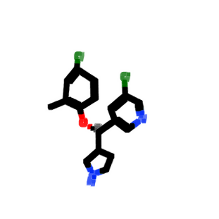 Cc1cc(Cl)ccc1O[C@H](c1cncc(Cl)c1)C1CCNC1